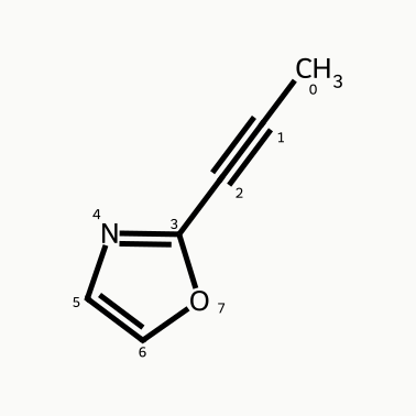 CC#Cc1ncco1